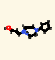 O=CC=CN1CCN(C2CCCC2)CC1